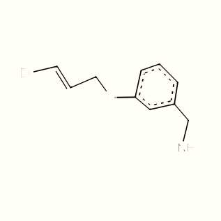 CCC=CCOc1cccc(CN)c1